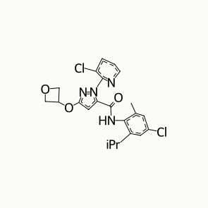 Cc1cc(Cl)cc(C(C)C)c1NC(=O)c1cc(OC2COC2)nn1-c1ncccc1Cl